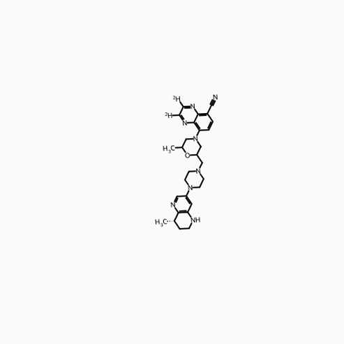 [2H]c1nc2c(C#N)ccc(N3CC(C)OC(CN4CCN(c5cnc6c(c5)NCC[C@@H]6C)CC4)C3)c2nc1[2H]